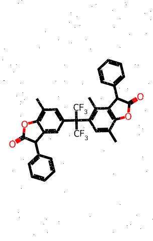 Cc1cc(C(c2cc(C)c3c(c2C)C(c2ccccc2)C(=O)O3)(C(F)(F)F)C(F)(F)F)cc2c1OC(=O)C2c1ccccc1